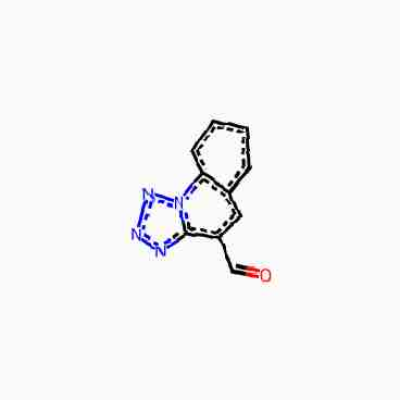 O=Cc1cc2ccccc2n2nnnc12